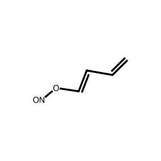 C=CC=CON=O